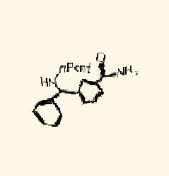 CCCCCNC(c1ccccc1)c1cccc(C(N)=O)c1